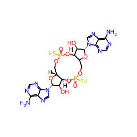 Nc1ncnc2c1ncn2[C@@H]1O[C@@H]2COP(=O)(S)O[C@@H]3C(COP(=O)(S)O[C@H]2[C@H]1O)O[C@@H](n1cnc2c(N)ncnc21)[C@@H]3O